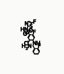 N[C@H](Nc1cc(F)c(S(=O)(=O)Nc2ncc(F)s2)cc1Cl)c1ccccc1F